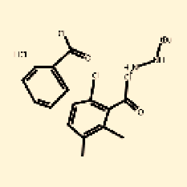 CC(C)(C)NN.Cc1ccc(Cl)c(C(=O)Cl)c1C.Cl.O=C(Cl)c1ccccc1